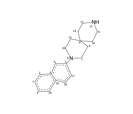 c1ccc2cc(N3CCC4(CCNCC4)CC3)ccc2c1